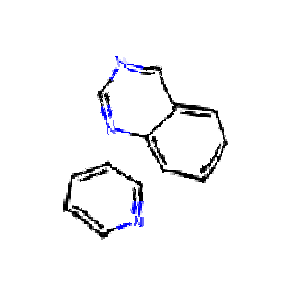 c1ccc2ncncc2c1.c1ccncc1